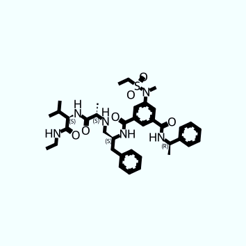 CCNC(=O)[C@@H](NC(=O)[C@H](C)NC[C@H](Cc1ccccc1)NC(=O)c1cc(C(=O)N[C@H](C)c2ccccc2)cc(N(C)S(=O)(=O)CC)c1)C(C)C